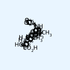 C=C(C)[C@@H]1CC[C@]2(NCCN3CCS(=O)(=O)CC3)CC[C@]3(C)[C@H](CCC4[C@@]5(C)CC=C(C6=CC[C@](CO)(C(=O)O)CC6)C(C)(C)[C@@H]5CC[C@]43C)[C@@H]12